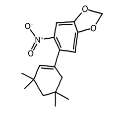 CC1(C)C=C(c2cc3c(cc2[N+](=O)[O-])OCO3)CC(C)(C)C1